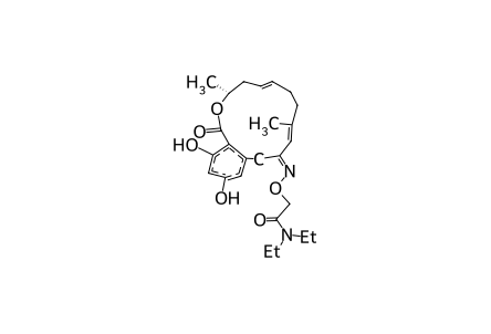 CCN(CC)C(=O)CO/N=C1/C=C(\C)CC/C=C/C[C@@H](C)OC(=O)c2c(O)cc(O)cc2C1